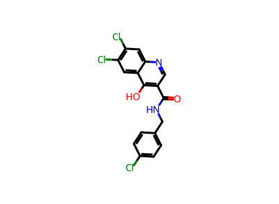 O=C(NCc1ccc(Cl)cc1)c1cnc2cc(Cl)c(Cl)cc2c1O